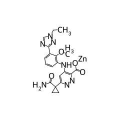 CCn1cnc(-c2cccc(Nc3cc(C4(C(N)=O)CC4)nnc3C(=O)[O][Zn])c2OC)n1